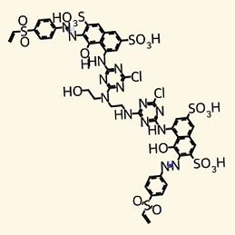 C=CS(=O)(=O)c1ccc(/N=N/c2c(S(=O)(=O)O)cc3cc(S(=O)(=O)O)cc(Nc4nc(Cl)nc(NCCN(CCO)c5nc(Cl)nc(Nc6cc(S(=O)(=O)O)cc7cc(S(=O)(=O)O)c(/N=N/c8ccc(S(=O)(=O)C=C)cc8)c(O)c67)n5)n4)c3c2O)cc1